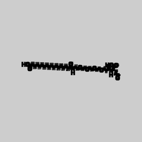 O=[C]CC[C@H](NC(=O)CCOCCOCCOCCOCCNC(=O)CCCCCCCCCCCCCCCCC(=O)O)C(=O)O